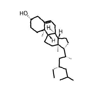 CC[C@@H](CC(C)C)C[C@@H](C)[C@H]1CC[C@H]2[C@@H]3CC=C4C[C@@H](O)CC[C@]4(C)[C@H]3CC[C@]12C